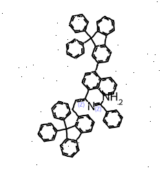 N/C(=N\C(=C/Cc1cccc2c1C(c1ccccc1)(c1ccccc1)c1ccccc1-2)c1ccc(-c2ccc3c(c2)C(c2ccccc2)(c2ccccc2)c2ccccc2-3)c2ccccc12)c1ccccc1